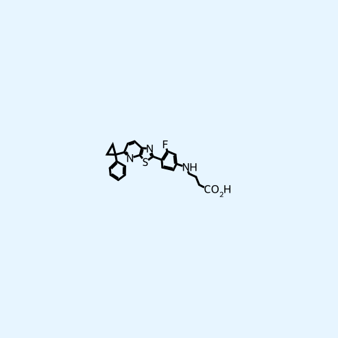 O=C(O)CCCNc1ccc(-c2nc3ccc(C4(c5ccccc5)CC4)nc3s2)c(F)c1